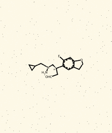 NN(CC1CC1)C[C@H](CC=O)c1cc2c(cc1F)OCC2